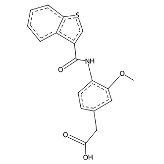 COc1cc(CC(=O)O)ccc1NC(=O)c1csc2ccccc12